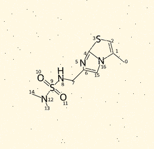 Cc1csc2nc(CNS(=O)(=O)N(C)C)cn12